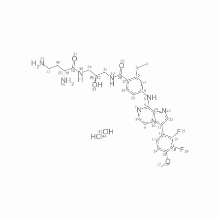 CCc1cc(Nc2nccn3c(-c4ccc(OC)c(F)c4F)cnc23)ccc1C(=O)NC[C@@H](O)CNC(=O)[C@H](N)CCN.Cl.Cl